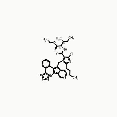 CCCCc1nc(Cl)c(C(=O)N[C@H](C(=O)OCC)[C@@H](C)CC)n1Cc1c2ccocc-2c(Br)c1-c1ccccc1-c1nnn[nH]1